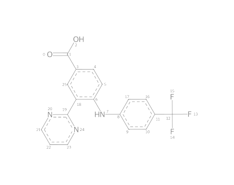 O=C(O)c1ccc(Nc2ccc(C(F)(F)F)cc2)c(-c2ncccn2)c1